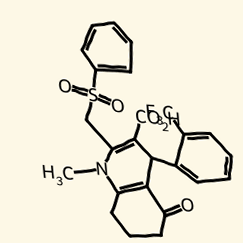 CN1C(CS(=O)(=O)c2ccccc2)=C(C(=O)O)C(c2ccccc2C(F)(F)F)C2=C1CCCC2=O